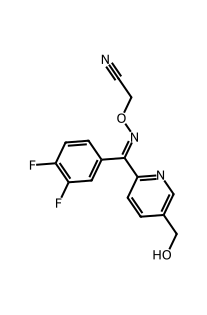 N#CCO/N=C(\c1ccc(F)c(F)c1)c1ccc(CO)cn1